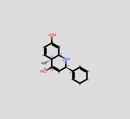 OC1=CC2N[C@@H](C3=CCCC=C3)C=C(O)[C@H]2C=C1